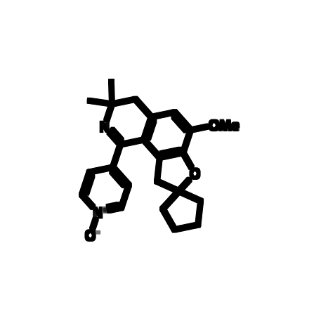 COc1cc2c(c3c1OC1(CCCC1)C3)C(c1cc[n+]([O-])cc1)=NC(C)(C)C2